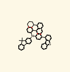 CC1(C)c2ccccc2-c2ccc(N(c3ccc(-c4cccc5sc6ccccc6c45)cc3)c3ccccc3-c3cccc4cccc(C5CCCCC5)c34)cc21